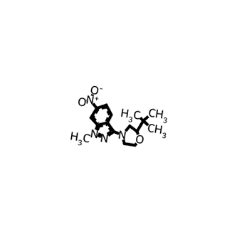 Cn1nc(N2CCOC(C(C)(C)C)C2)c2ccc([N+](=O)[O-])cc21